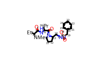 CCC(NC)C(=O)NC(C(=O)N1CCCC1CNS(=O)(=O)Cc1ccccc1)C(C)C